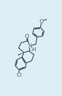 COc1ccc(CN2C(=O)CC[C@@]3(C)c4ccc(Cl)cc4CC[C@H]23)cc1